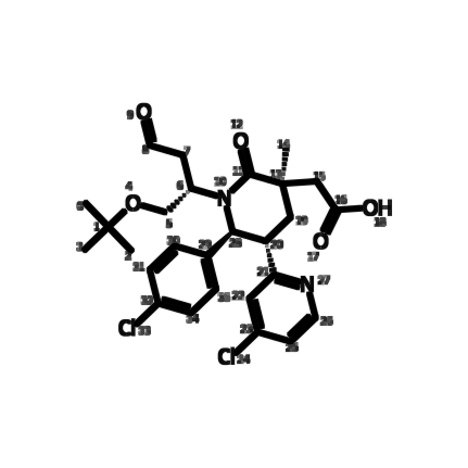 CC(C)(C)OC[C@H](CC=O)N1C(=O)[C@@](C)(CC(=O)O)C[C@H](c2cc(Cl)ccn2)[C@H]1c1ccc(Cl)cc1